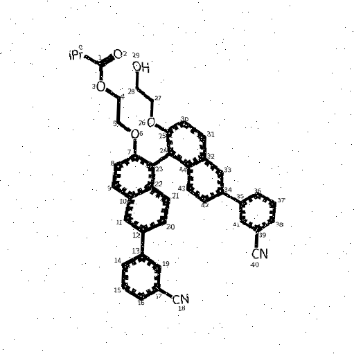 CC(C)C(=O)OCCOc1ccc2cc(-c3cccc(C#N)c3)ccc2c1-c1c(OCCO)ccc2cc(-c3cccc(C#N)c3)ccc12